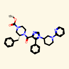 CC(C)(C)OC(=O)N1CCN(C(=O)c2ncn(C3CCCN(c4ccccn4)C3)c2-c2ccccc2)[C@H](Cc2ccccc2)C1